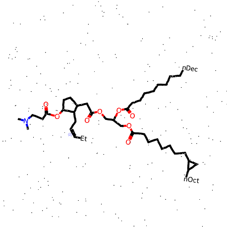 CC/C=C\CC1C(CC(=O)OCC(COC(=O)CCCCCCCC2CC2CCCCCCCC)OC(=O)CCCCCCCCCCCCCCCCCC)CCC1OC(=O)CCN(C)C